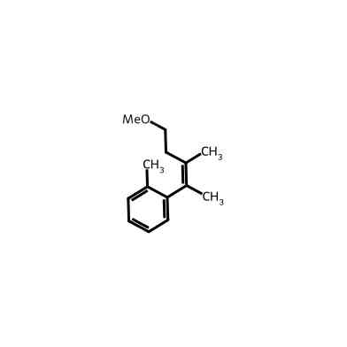 [CH2]OCCC(C)=C(C)c1ccccc1C